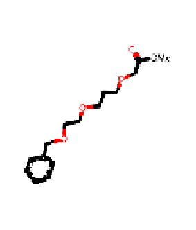 COC(=O)COCCCOCCOCc1ccccc1